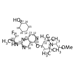 COCCN1C(C)(C)CC(Oc2ncc([C@H]3CC[C@H](O)CC3)c3nc(N[C@@H](C)CF)ncc23)CC1(C)C